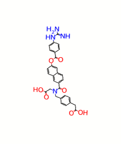 N=C(N)Nc1ccc(C(=O)Oc2ccc3cc(C(=O)N(CC(=O)O)Cc4ccc(CC(=O)O)cc4)ccc3c2)cc1